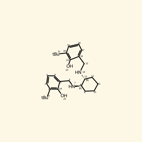 CC(C)(C)c1cccc(CN[C@@H]2CCCC[C@H]2NCc2cccc(C(C)(C)C)c2O)c1O